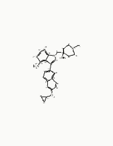 CN1CCC(O)(Cn2nc(-c3ccc4cc(OC5CC5)ccc4c3)c3c(N)ncnc32)CC1